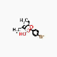 C=C[C@H](OC(=O)c1ccc(Br)cc1)[C@@H]1C[C@@H](C)[C@H]1CO